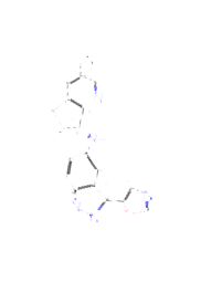 N#Cc1cnc2c(c1)CC[C@H]2Nc1ccc2[nH]nc(-c3cnco3)c2c1